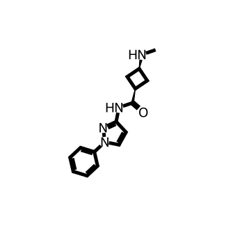 CN[C@H]1C[C@@H](C(=O)Nc2ccn(-c3ccccc3)n2)C1